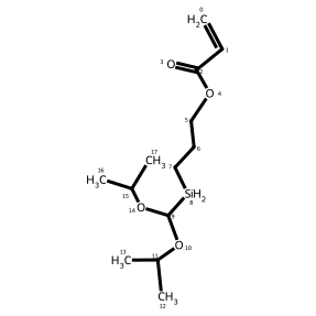 C=CC(=O)OCCC[SiH2]C(OC(C)C)OC(C)C